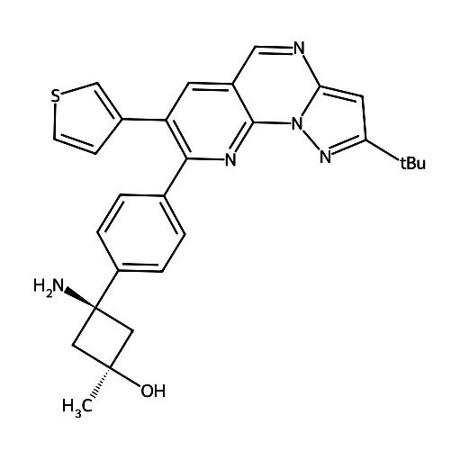 CC(C)(C)c1cc2ncc3cc(-c4ccsc4)c(-c4ccc([C@]5(N)C[C@@](C)(O)C5)cc4)nc3n2n1